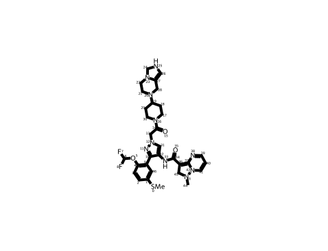 CSc1ccc(OC(F)F)c(-c2nn(CC(=O)N3CCC(N4CCN5CNC=C5C4)CC3)cc2NC(=O)C2=C3N=CC=CN3N(C)C2)c1